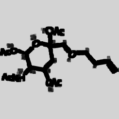 C=CCCOCC1(OC(C)=O)CC(OC(C)=O)C(NC(C)=O)[C@@H](OC(C)=O)O1